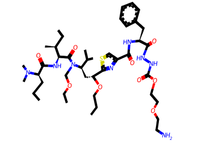 CCCO[C@H](C[C@H](C(C)C)N(COCC)C(=O)[C@@H](NC(=O)[C@@H](CCC)N(C)C)[C@@H](C)CC)c1nc(C(=O)N[C@@H](Cc2ccccc2)C(=O)NNC(=O)OCCOCCN)cs1